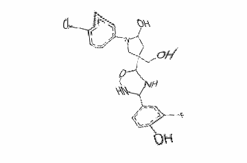 OCC1(C2NC(c3ccc(O)c(F)c3)NO2)CC(O)N(c2ccc(Cl)cc2)C1